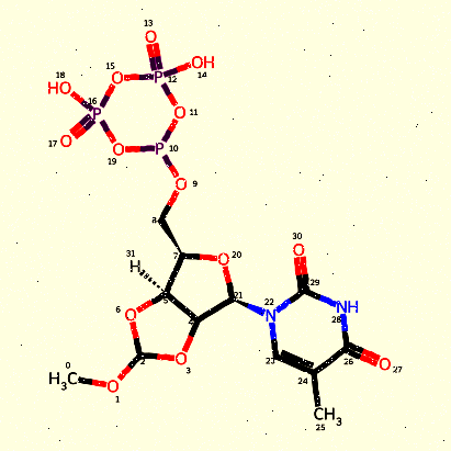 COC1OC2[C@@H](O1)[C@@H](COP1OP(=O)(O)OP(=O)(O)O1)O[C@H]2n1cc(C)c(=O)[nH]c1=O